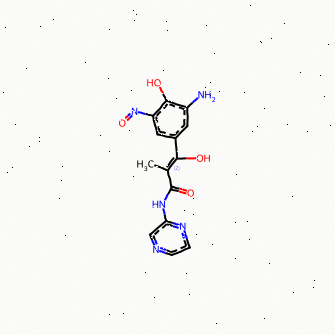 C/C(C(=O)Nc1cnccn1)=C(/O)c1cc(N)c(O)c(N=O)c1